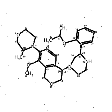 COc1c(N2CCOC[C@@H]2C)ncc2c1COC[C@@H]2N1CCN[C@H](c2ccccc2OC(C)C)C1